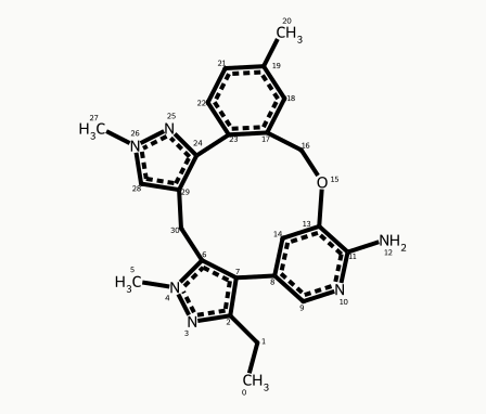 CCc1nn(C)c2c1-c1cnc(N)c(c1)OCc1cc(C)ccc1-c1nn(C)cc1C2